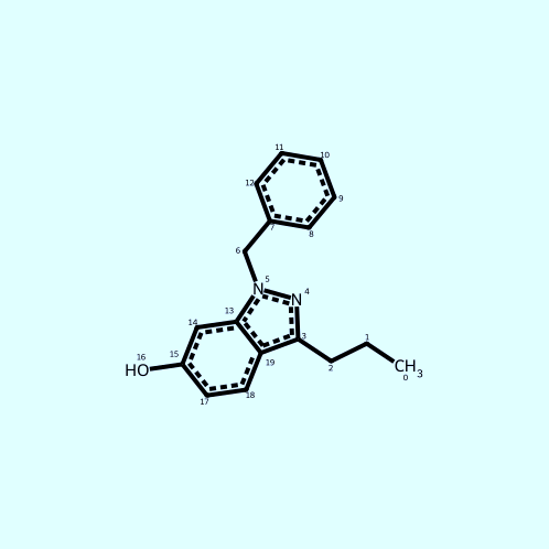 CCCc1nn(Cc2ccccc2)c2cc(O)ccc12